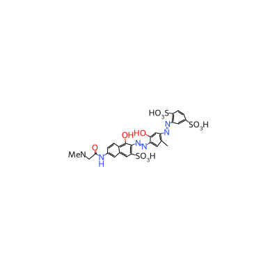 CNCC(=O)Nc1ccc2c(O)c(N=Nc3cc(C)c(N=Nc4cc(S(=O)(=O)O)ccc4S(=O)(=O)O)cc3O)c(S(=O)(=O)O)cc2c1